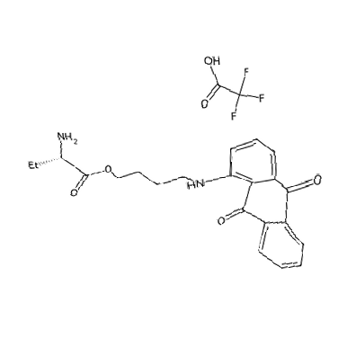 CC[C@H](N)C(=O)OCCCCNc1cccc2c1C(=O)c1ccccc1C2=O.O=C(O)C(F)(F)F